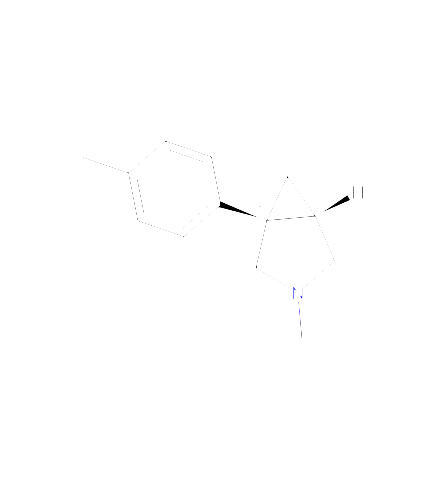 Cc1ccc([C@@]23C[C@@H]2CN(C)C3)cc1